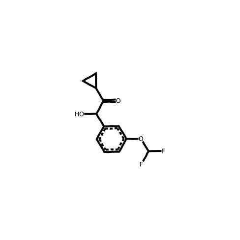 O=C(C1CC1)C(O)c1cccc(OC(F)F)c1